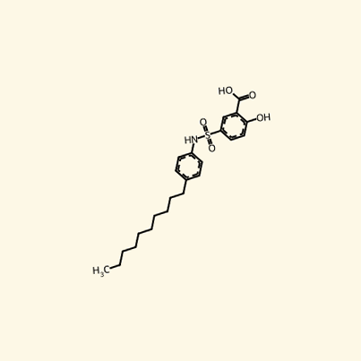 CCCCCCCCCCc1ccc(NS(=O)(=O)c2ccc(O)c(C(=O)O)c2)cc1